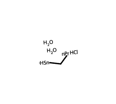 CCC[CH2][SnH].Cl.O.O